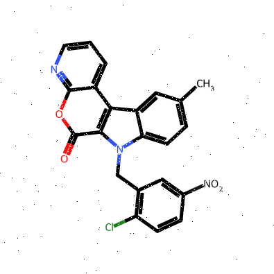 Cc1ccc2c(c1)c1c3cccnc3oc(=O)c1n2Cc1cc([N+](=O)[O-])ccc1Cl